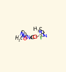 Cc1ccc2ncc(F)c(CCC34CCC(NCc5cc6cccnc6n(C)c5=O)(CC3)CO4)c2n1